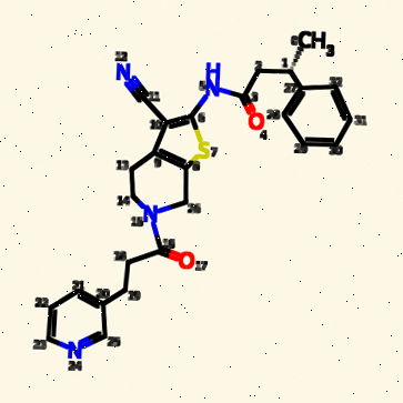 C[C@@H](CC(=O)Nc1sc2c(c1C#N)CCN(C(=O)CCc1cccnc1)C2)c1ccccc1